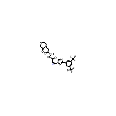 O=C(/C=C\n1cnc(-c2cc(C(F)(F)F)cc(C(F)(F)F)c2)n1)NNC(=O)CN1CCOCC1=O